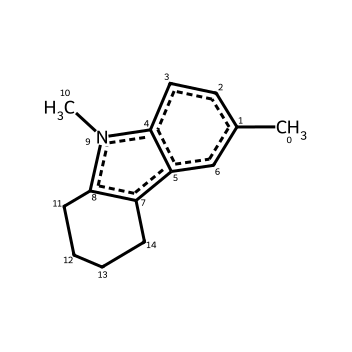 Cc1ccc2c(c1)c1c(n2C)CCCC1